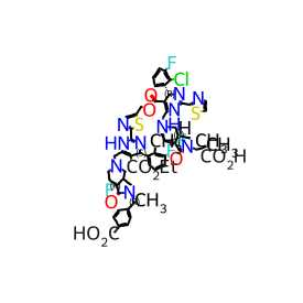 CCOC(=O)C1=C(CN2CC[C@]3(F)C(=O)N([C@H](C)c4ccc(C(=O)O)cc4)CC3C2)NC(c2ncc(COC(=O)C3=C(CN4CC[C@]5(F)C(=O)N(CC(C)(C)C(=O)O)C[C@@H]5C4)NC(c4nccs4)=N[C@H]3c3cccc(F)c3Cl)s2)=N[C@H]1c1cccc(F)c1C